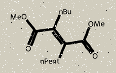 CCCCCC(C(=O)OC)=C(CCCC)C(=O)OC